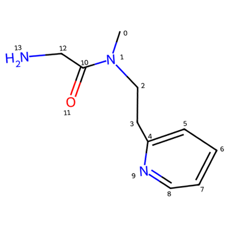 CN(CCc1ccccn1)C(=O)CN